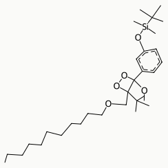 CCCCCCCCCCCOCC1(C(C)(C)C)OOC1(OC)c1cccc(O[Si](C)(C)C(C)(C)C)c1